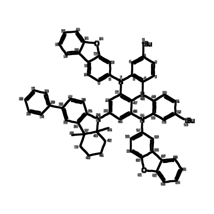 CC(C)(C)c1ccc2c(c1)N(c1ccc3c(c1)oc1ccccc13)c1cc(N3c4ccc(-c5ccccc5)cc4C4(C)CCCCC34C)cc3c1B2c1ccc(C(C)(C)C)cc1N3c1ccc2oc3ccccc3c2c1